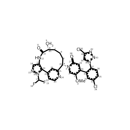 COc1cn([C@H]2CCC[C@@H](C)C(=O)Nc3cnn(C(F)F)c3-c3ccnc2c3)c(=O)cc1-c1cc(Cl)ccc1-n1cc(Cl)nn1